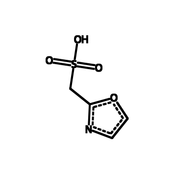 O=S(=O)(O)Cc1ncco1